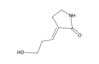 O=C1NCC/C1=C\CCO